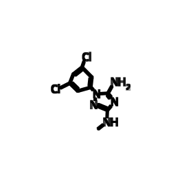 CNc1nc(N)n(-c2cc(Cl)cc(Cl)c2)n1